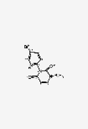 Cn1ccc(=O)n(-c2ccc(Br)cn2)c1=O